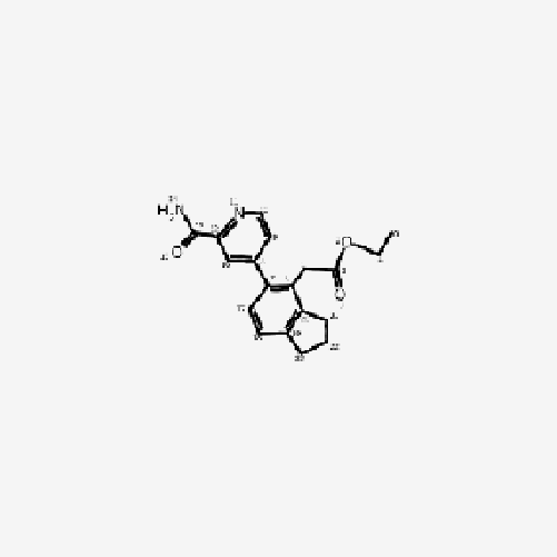 CCOC(=O)Cc1c(-c2ccnc(C(N)=O)c2)ccc2c1CCC2